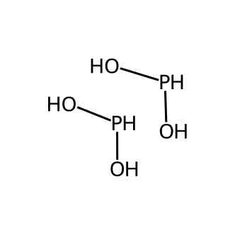 OPO.OPO